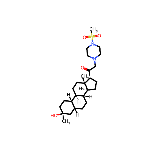 C[C@@]1(O)CC[C@H]2[C@H](CC[C@@H]3[C@@H]2CC[C@]2(C)[C@@H](C(=O)CN4CCN(S(C)(=O)=O)CC4)CC[C@@H]32)C1